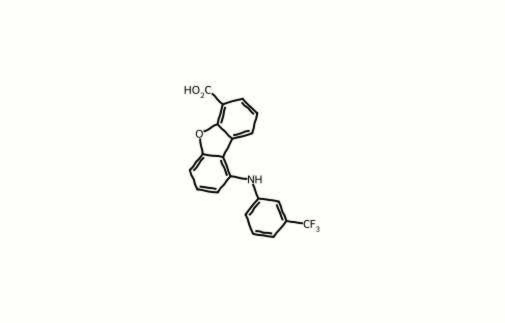 O=C(O)c1cccc2c1oc1cccc(Nc3cccc(C(F)(F)F)c3)c12